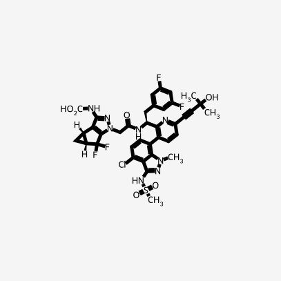 Cn1nc(NS(C)(=O)=O)c2c(Cl)ccc(-c3ccc(C#CC(C)(C)O)nc3[C@H](Cc3cc(F)cc(F)c3)NC(=O)Cn3nc(NC(=O)O)c4c3C(F)(F)[C@@H]3C[C@H]43)c21